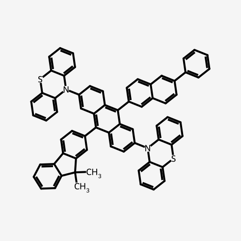 CC1(C)c2ccccc2-c2ccc(-c3c4ccc(N5c6ccccc6Sc6ccccc65)cc4c(-c4ccc5cc(-c6ccccc6)ccc5c4)c4ccc(N5c6ccccc6Sc6ccccc65)cc34)cc21